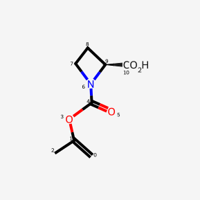 C=C(C)OC(=O)N1CC[C@H]1C(=O)O